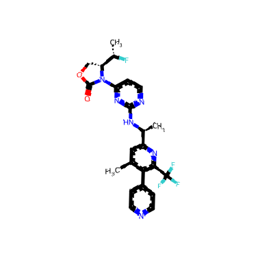 Cc1cc([C@H](C)Nc2nccc(N3C(=O)OC[C@@H]3[C@H](C)F)n2)nc(C(F)(F)F)c1-c1ccncc1